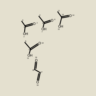 CC(=O)O.CC(=O)O.CC(=O)O.CC(=O)O.O=CC=O